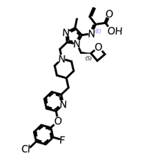 C=C/C(=N\c1c(C)nc(CN2CCC(Cc3cccc(Oc4ccc(Cl)cc4F)n3)CC2)n1C[C@@H]1CCO1)C(=O)O